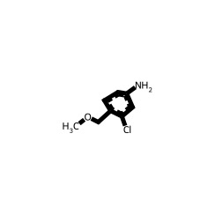 COCc1ccc(N)cc1Cl